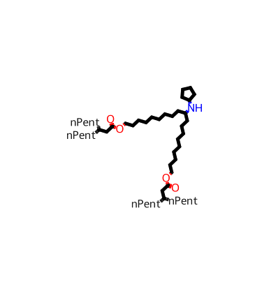 CCCCCC(CCCCC)CC(=O)OCCCCCCCCCC(CCCCCCCCCOC(=O)CC(CCCCC)CCCCC)NC1CCCC1